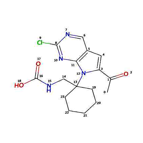 CC(=O)c1cc2cnc(Cl)nc2n1C1(CNC(=O)O)CCCCC1